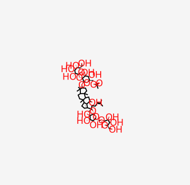 CC(=O)OC[C@H]1O[C@@H](OC2CCC3(C)C(CCC4(C)C3CC(O)C3C([C@](C)(CCC=C(C)C)O[C@@H]5O[C@H](CO[C@@H]6O[C@H](CO)[C@@H](O)[C@@H]6O)[C@@H](O)[C@H](O)[C@H]5O)CC[C@]34C)C2(C)C)[C@H](O[C@@H]2O[C@H](CO)[C@@H](O)[C@H](O)[C@H]2O)[C@@H](O)[C@@H]1O